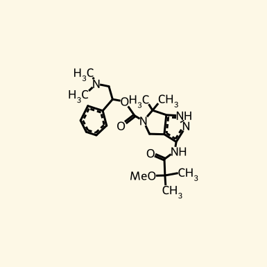 COC(C)(C)C(=O)Nc1n[nH]c2c1CN(C(=O)OC(CN(C)C)c1ccccc1)C2(C)C